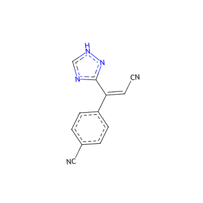 N#CC=C(c1ccc(C#N)cc1)c1nc[nH]n1